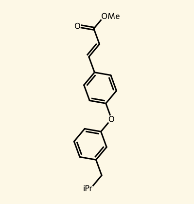 COC(=O)C=Cc1ccc(Oc2cccc(CC(C)C)c2)cc1